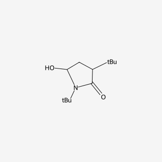 CC(C)(C)C1CC(O)N(C(C)(C)C)C1=O